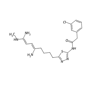 CN/C(N)=C/C=C(\N)CCCCc1nnc(NC(=O)Cc2cccc(Cl)c2)s1